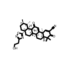 C[C@@H]1[C@H]2[C@H]3C(=O)C=C4[C@@]5(C)C=C(C#N)C(=O)C(C)(C)[C@@H]5CC[C@@]4(C)[C@]3(C)CC[C@@]2(c2nc(CCO)no2)CC[C@H]1C